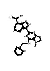 CN1CCc2nc(-c3nsc4c(C(N)=O)cccc34)nc(NCc3ccccc3)c21